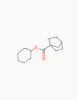 O=C(OC1CCCCC1)C12[CH]CC(CC1)C2